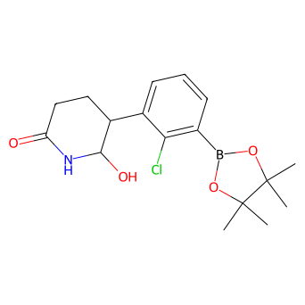 CC1(C)OB(c2cccc(C3CCC(=O)NC3O)c2Cl)OC1(C)C